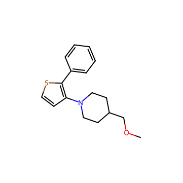 COCC1CCN(c2ccsc2-c2ccccc2)CC1